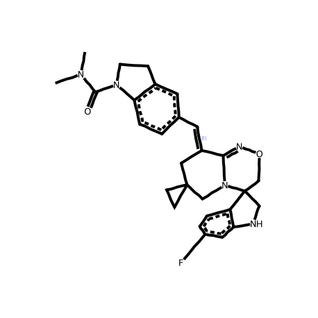 CN(C)C(=O)N1CCc2cc(/C=C3\CC4(CC4)CN4C3=NOCC43CNc4cc(F)ccc43)ccc21